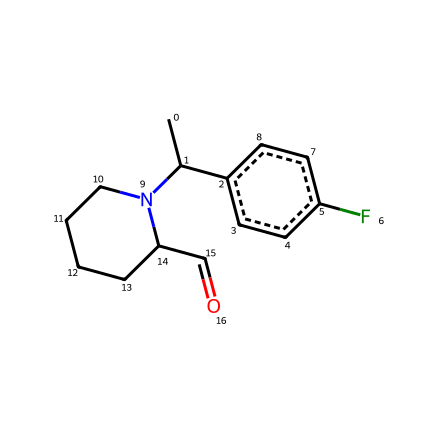 CC(c1ccc(F)cc1)N1CCCCC1C=O